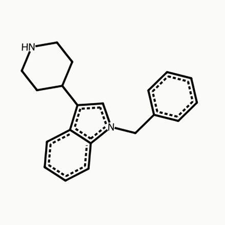 c1ccc(Cn2cc(C3CCNCC3)c3ccccc32)cc1